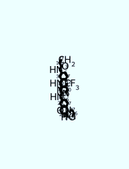 C=CC(=O)Nc1cccc(Nc2nc(Nc3ccc4c(c3)OC[C@H]3COCCN43)ncc2C(F)(F)F)c1